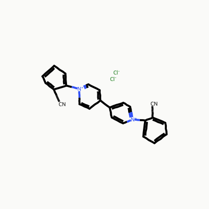 N#Cc1ccccc1-[n+]1ccc(-c2cc[n+](-c3ccccc3C#N)cc2)cc1.[Cl-].[Cl-]